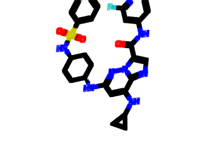 O=C(Nc1ccnc(F)c1)c1cnc2c(NC3CC3)cc(N[C@H]3CC[C@H](NS(=O)(=O)c4ccccc4)CC3)nn12